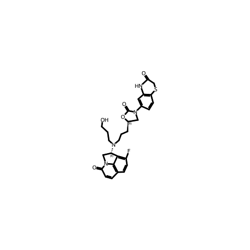 O=C1CSc2ccc(N3C[C@@H](CCCN(CCCO)[C@H]4Cn5c(=O)ccc6ccc(F)c4c65)OC3=O)cc2N1